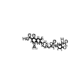 O=C1COc2ccc(N3CC(CN4CCN(c5nc6c(cc5F)c(=O)c(C(=O)O)cn6C5CC5)CC4)OC3=O)nc2N1